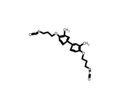 Cc1cc(-c2ccc(OCCCN=C=O)c(C)c2)ccc1OCCCN=C=O